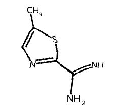 Cc1cnc(C(=N)N)s1